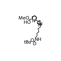 COC(O)c1cccc(-c2cnn(CCCCCCNC(=O)OC(C)(C)C)c2)n1